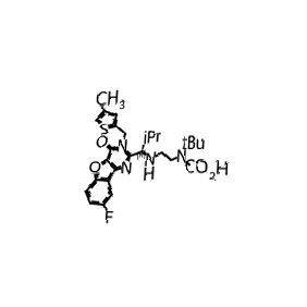 Cc1csc(Cn2c([C@H](NCCN(C(=O)O)C(C)(C)C)C(C)C)nc3c(oc4ccc(F)cc43)c2=O)c1